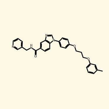 Cc1cccc(OCCCOc2ccc(-n3cnc4cc(C(=O)NCc5cccnc5)ccc43)cc2)c1